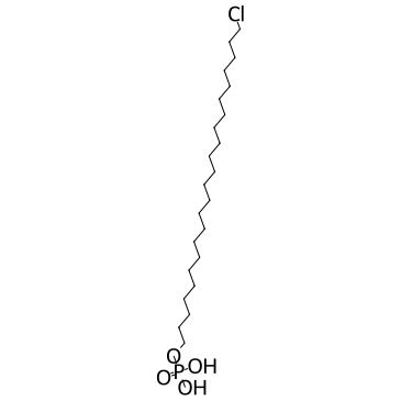 O=P(O)(O)OCCCCCCCCCCCCCCCCCCCCCCCCl